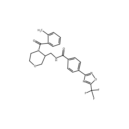 Cc1ccccc1C(=O)N1CCOCC1CNC(=O)c1ccc(-c2noc(C(F)(F)F)n2)cc1